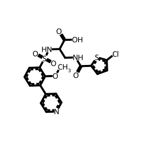 COc1c(-c2ccncc2)cccc1S(=O)(=O)NC(CNC(=O)c1ccc(Cl)s1)C(=O)O